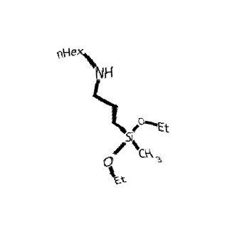 CCCCCCNCCC[Si](C)(OCC)OCC